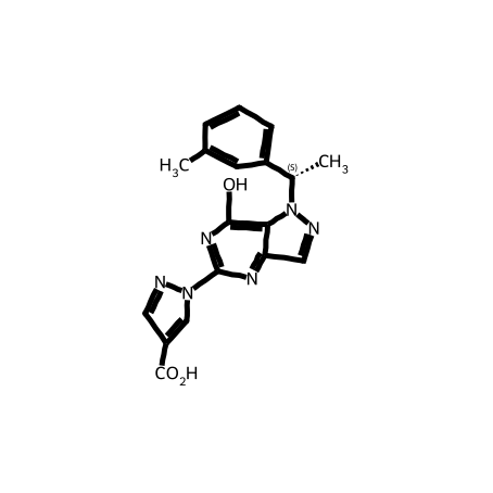 Cc1cccc([C@H](C)n2ncc3nc(-n4cc(C(=O)O)cn4)nc(O)c32)c1